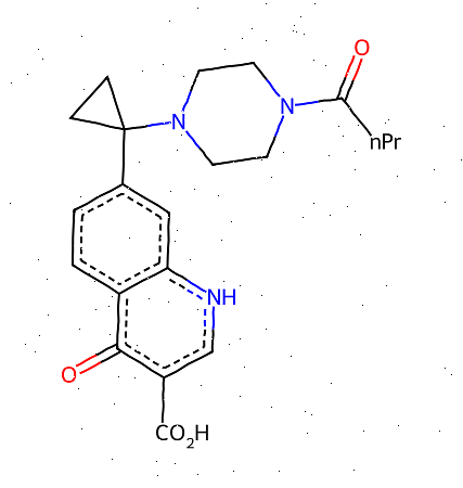 CCCC(=O)N1CCN(C2(c3ccc4c(=O)c(C(=O)O)c[nH]c4c3)CC2)CC1